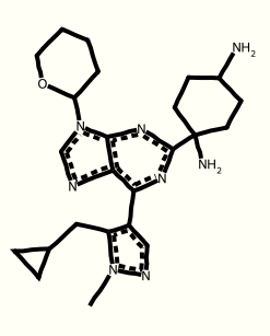 Cn1ncc(-c2nc(C3(N)CCC(N)CC3)nc3c2ncn3C2CCCCO2)c1CC1CC1